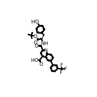 CC(C)(C)OC(=O)[C@@H](Cc1ccc(O)cc1)NC(=O)c1cc(C(=O)O)c2cc(-c3cccc(C(F)(F)F)c3)ccc2n1